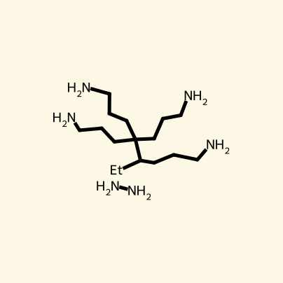 CCC(CCCN)C(CCCN)(CCCN)CCCN.NN